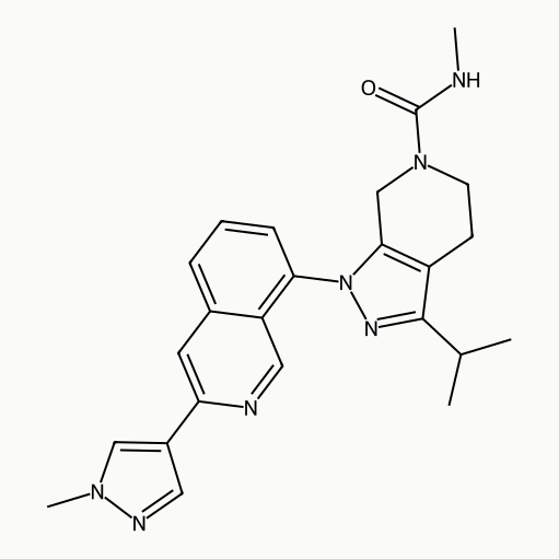 CNC(=O)N1CCc2c(C(C)C)nn(-c3cccc4cc(-c5cnn(C)c5)ncc34)c2C1